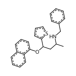 CC(CC(Oc1cccc2ccccc12)c1cccs1)NCc1ccccc1